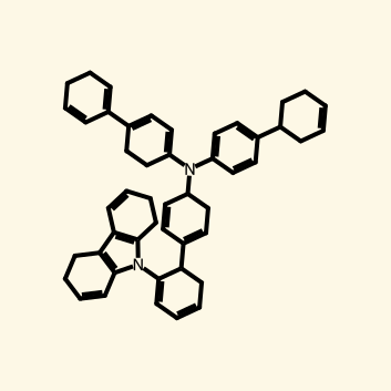 C1=CCC(C2=CCC(N(C3=CC=C(C4=CCCC=C4)CC3)c3ccc(C4CC=CCC4)cc3)C=C2)C(n2c3c(c4c2CCC=C4)CCC=C3)=C1